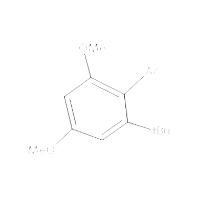 COc1cc(OC)c(C(C)=O)c(C(C)(C)C)c1